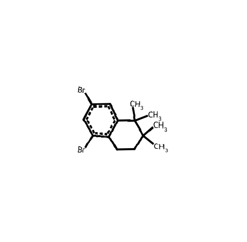 CC1(C)CCc2c(Br)cc(Br)cc2C1(C)C